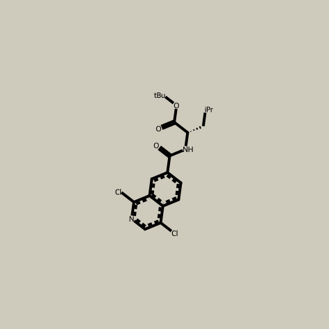 CC(C)C[C@H](NC(=O)c1ccc2c(Cl)cnc(Cl)c2c1)C(=O)OC(C)(C)C